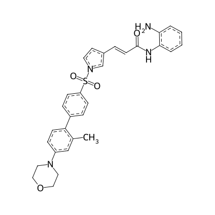 Cc1cc(N2CCOCC2)ccc1-c1ccc(S(=O)(=O)n2ccc(C=CC(=O)Nc3ccccc3N)c2)cc1